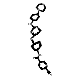 N#Cc1ccc(C(=O)Nc2ccc(Sc3ccnc(Nc4ccc(N5CCOCC5)cc4)n3)cc2)cn1